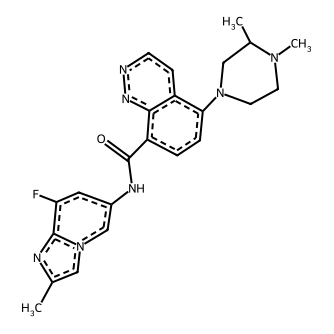 Cc1cn2cc(NC(=O)c3ccc(N4CCN(C)C(C)C4)c4ccnnc34)cc(F)c2n1